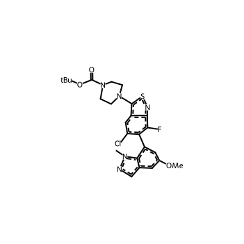 COc1cc(-c2c(Cl)cc3c(N4CCN(C(=O)OC(C)(C)C)CC4)snc3c2F)c2c(cnn2C)c1